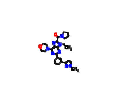 CCn1c(C(=O)N2CCCC2)nc2c(N3CCOCC3)nc(-c3cccc(-c4ccn(C)n4)c3)nc21